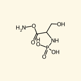 NOC(=O)C(CO)NP(=O)(O)O